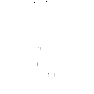 O=C1NC(=O)C(CNS(=O)(=O)c2ccccc2)N1